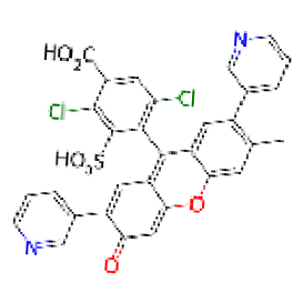 Cc1cc2oc3cc(=O)c(-c4cccnc4)cc-3c(-c3c(Cl)cc(C(=O)O)c(Cl)c3S(=O)(=O)O)c2cc1-c1cccnc1